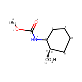 CC(C)(C)OC(=O)NC1CCCC[C@H]1C(=O)O